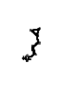 [CH2]C=CCC1CC1